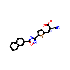 N#C/C(=C/c1ccc(-c2noc(-c3ccc4ccccc4c3)n2)s1)C(=O)O